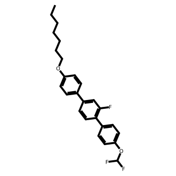 CCCCCCCOc1ccc(-c2ccc(-c3ccc(OC(F)F)cc3)c(F)c2)cc1